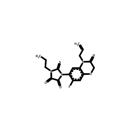 C=CCN1C(=O)COc2cc(F)c(N3C(=O)C(=O)N(CCC)C3=S)cc21